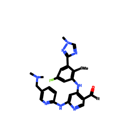 CCC(=O)c1cnc(Nc2ccc(CN(C)C)cn2)cc1Nc1cc(F)cc(-c2ncn(C)n2)c1OC